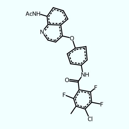 CC(=O)Nc1cccc2c(Oc3ccc(NC(=O)c4c(F)c(C)c(Cl)c(F)c4F)cc3)ccnc12